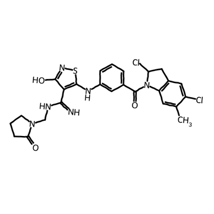 Cc1cc2c(cc1Cl)CC(Cl)N2C(=O)c1cccc(Nc2snc(O)c2C(=N)NCN2CCCC2=O)c1